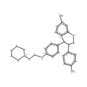 Cc1ccc(C2COc3cc(O)ccc3C2c2ccc(OCCN3CCCCC3)cc2)cc1